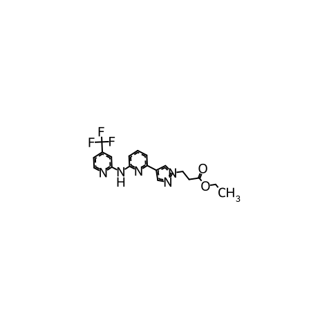 CCOC(=O)CCn1cc(-c2cccc(Nc3cc(C(F)(F)F)ccn3)n2)cn1